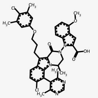 COc1cccc2c1cc(C(=O)O)n2N1CC(C)n2c(c(CCCOc3cc(C)c(Cl)c(C)c3)c3ccc(Cl)c(-c4c(C)ncnc4C)c32)C1=O